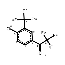 C=C(c1ccc(Cl)c(C(F)(F)F)c1)C(F)(F)F